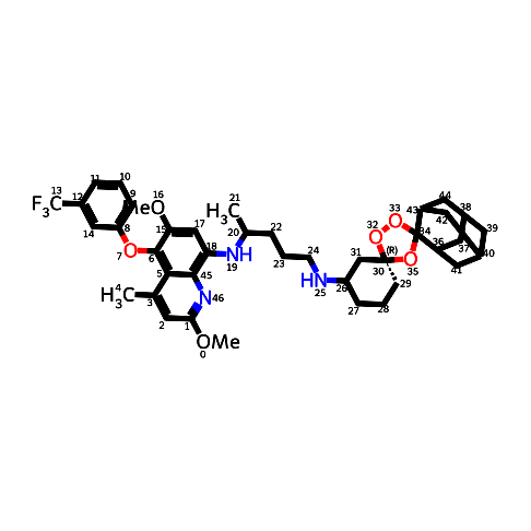 COc1cc(C)c2c(Oc3cccc(C(F)(F)F)c3)c(OC)cc(NC(C)CCCNC3CCC[C@]4(C3)OOC3(O4)C4CC5CC(C4)CC3C5)c2n1